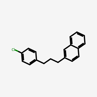 Clc1ccc(CCCc2ccc3ccccc3c2)cc1